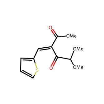 COC(=O)C(=Cc1cccs1)C(=O)C(OC)OC